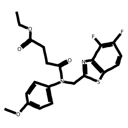 CCOC(=O)CCC(=O)N(Cc1nc2c(F)c(F)ccc2s1)c1ccc(OC)cc1